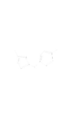 Cc1ncc(Cc2ccc(F)cc2)[nH]1